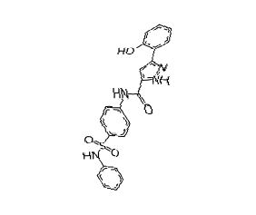 O=C(Nc1ccc(S(=O)(=O)Nc2ccccc2)cc1)c1cc(-c2ccccc2O)n[nH]1